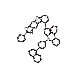 c1ccc(-c2nc3cc4c(cc3o2)oc2cccc(-c3ccc(N(c5ccc(-c6cccc7ccccc67)cc5)c5ccccc5-c5ccccc5)cc3)c24)cc1